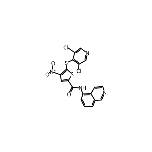 O=C(Nc1cccc2cnccc12)c1cc([N+](=O)[O-])c(Sc2c(Cl)cncc2Cl)s1